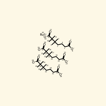 CC(C)(CCCC(=O)[O-])C(C)(C)C(=O)[O-].CC(C)(CCCC(=O)[O-])C(C)(C)C(=O)[O-].CC(C)(CCCC(=O)[O-])C(C)(C)C(=O)[O-].[Ru+6]